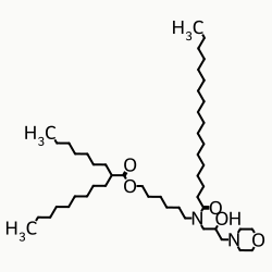 CCCCCCCCCCCCCCCCCC(=O)N(CCCCCCOC(=O)C(CCCCCCC)CCCCCCCCC)CC(O)CN1CCOCC1